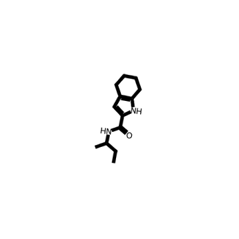 CCC(C)NC(=O)c1cc2c([nH]1)CCCC2